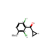 CSc1ccc(F)c(C(=O)C2CC2)c1Br